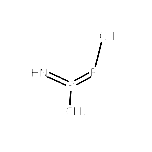 CP=P(C)=N